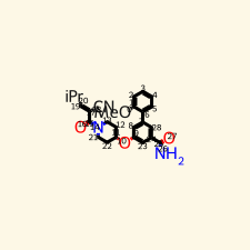 COc1ccccc1-c1cc(OC2CCN(C(=O)/C(C#N)=C/C(C)C)CC2)cc(C(N)=O)c1